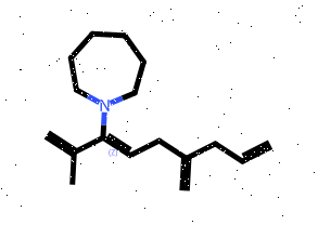 C=CCC(=C)C/C=C(/C(=C)C)N1CCCCCC1